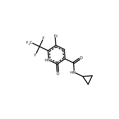 CCc1cc(C(=O)NC2CC2)c(=O)[nH]c1C(F)(F)C(F)(F)F